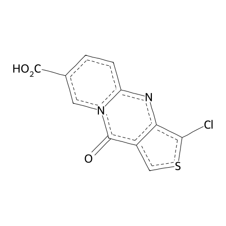 O=C(O)c1ccc2nc3c(Cl)scc3c(=O)n2c1